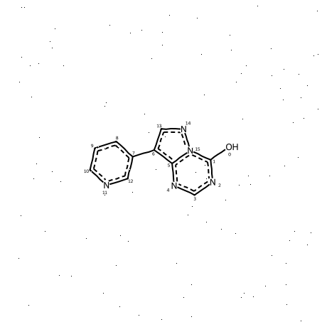 Oc1ncnc2c(-c3cccnc3)cnn12